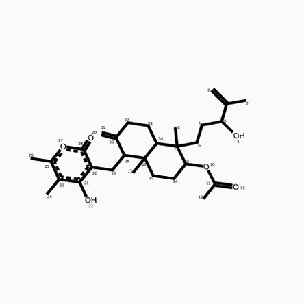 C=C(C)C(O)CCC1(C)C(OC(C)=O)CCC2(C)C(Cc3c(O)c(C)c(C)oc3=O)C(=C)CCC12